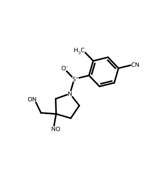 Cc1cc(C#N)ccc1[S+]([O-])N1CCC(CN=O)(N=O)C1